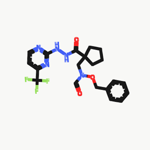 O=CN(CC1(C(=O)NNc2nccc(C(F)(F)F)n2)CCCC1)OCc1ccccc1